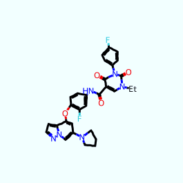 CCn1cc(C(=O)Nc2ccc(Oc3cc(N4CCCC4)cn4nccc34)c(F)c2)c(=O)n(-c2ccc(F)cc2)c1=O